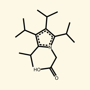 CC(C)c1c(C(C)C)c(C(C)C)n(CC(=O)O)c1C(C)C